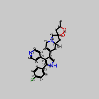 CC1CC2(C[C@@H]3CC(c4c[nH]c(-c5ccc(F)cc5)c4-c4ccncc4)=CCN3C2)OO1